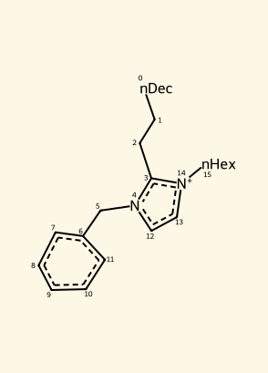 CCCCCCCCCCCCc1n(Cc2ccccc2)cc[n+]1CCCCCC